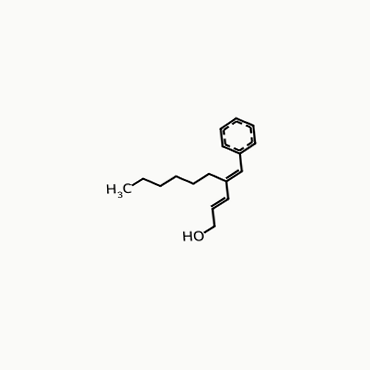 CCCCCCC(/C=C/CO)=C\c1ccccc1